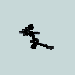 CCCCC1(CC)C(=O)[SH]c2cc(OCC(=O)N[C@@H](C(=O)NCCCCCC(=O)O)c3ccccc3)c(SC)cc2N(c2ccccc2)C1=O